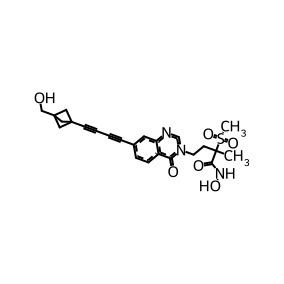 CC(CCn1cnc2cc(C#CC#CC34CC(CO)(C3)C4)ccc2c1=O)(C(=O)NO)S(C)(=O)=O